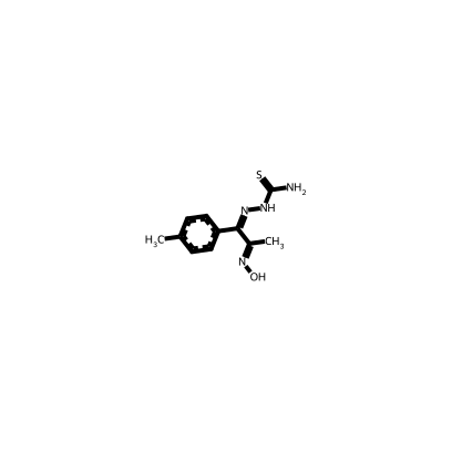 CC(=NO)C(=NNC(N)=S)c1ccc(C)cc1